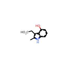 Cc1[nH]c2cccc(O)c2c1CC(=O)O